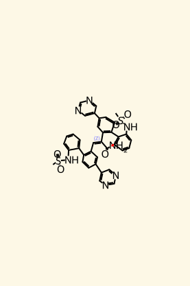 CS(=O)(=O)Nc1ccccc1-c1ccc(-c2cncnc2)cc1/C=C(\C(N)=O)c1cc(-c2cncnc2)ccc1-c1ccccc1NS(C)(=O)=O